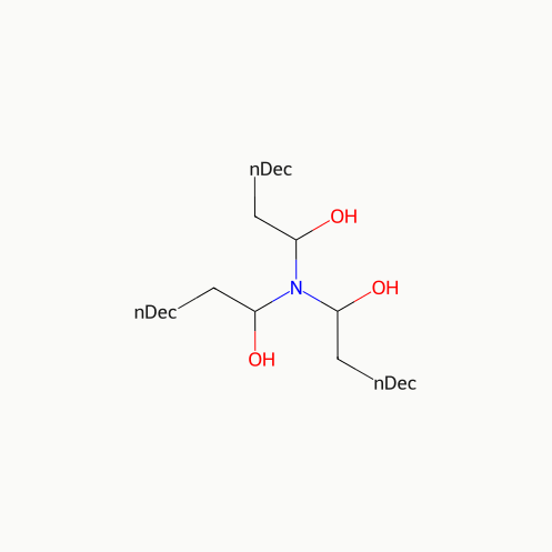 CCCCCCCCCCCC(O)N(C(O)CCCCCCCCCCC)C(O)CCCCCCCCCCC